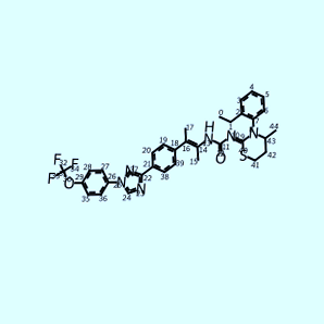 CCc1ccccc1N1/C(=N/C(=O)N/C(C)=C(\C)c2ccc(-c3ncn(-c4ccc(OC(F)(F)F)cc4)n3)cc2)SCCC1C